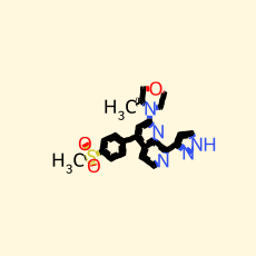 C[C@@H]1COCCN1c1cc(-c2ccc(S(C)(=O)=O)cc2)c2ccnc(-c3cc[nH]n3)c2n1